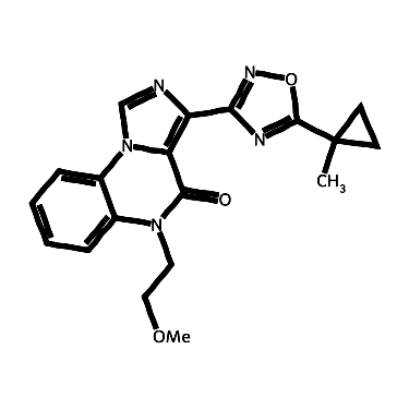 COCCn1c(=O)c2c(-c3noc(C4(C)CC4)n3)ncn2c2ccccc21